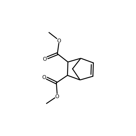 COC(=O)C1C2C=CC(C2)C1C(=O)OC